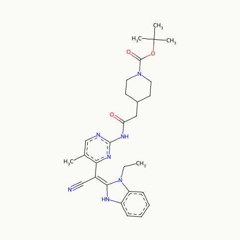 CCN1C(=C(C#N)c2nc(NC(=O)CC3CCN(C(=O)OC(C)(C)C)CC3)ncc2C)Nc2ccccc21